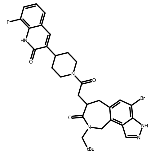 CC(C)(C)CN1Cc2c(cc(Br)c3[nH]ncc23)CC(CC(=O)N2CCC(c3cc4cccc(F)c4[nH]c3=O)CC2)C1=O